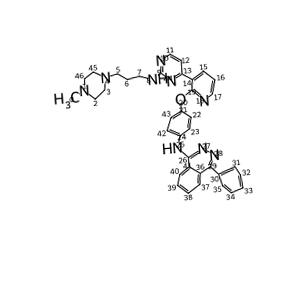 CN1CCN(CCCNc2nccc(-c3cccnc3Oc3ccc(Nc4nnc(-c5ccccc5)c5ccccc45)cc3)n2)CC1